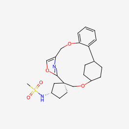 CS(=O)(=O)N[C@H]1CC[C@]2(COC3CCC(CC3)c3ccccc3OCc3coc2n3)C1